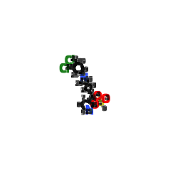 CS(=O)(=O)O[C@H](c1cccnc1)C1CC2(C1)CN(c1ccc(Cl)c(Cl)c1)C2